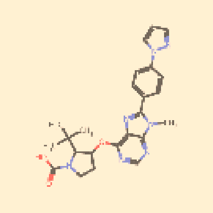 Cn1c(-c2ccc(-n3cccn3)cc2)nc2c(OC3CCN(C(=O)O)C3C(C)(C)C)ncnc21